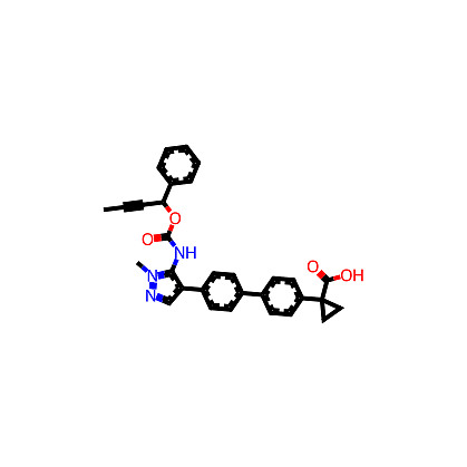 CC#CC(OC(=O)Nc1c(-c2ccc(-c3ccc(C4(C(=O)O)CC4)cc3)cc2)cnn1C)c1ccccc1